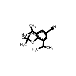 CC(C)c1cc(C#N)cc(C(C)C)c1OC(C)(C)C